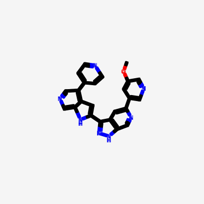 COc1cncc(-c2cc3c(-c4cc5c(-c6ccncc6)cncc5[nH]4)n[nH]c3cn2)c1